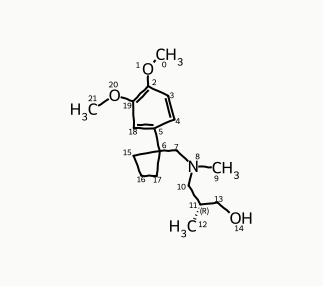 COc1ccc(C2(CN(C)C[C@@H](C)CO)CCC2)cc1OC